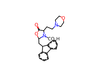 O=C1OC(CC2c3ccccc3-c3ccccc32)N(C(=O)O)C1CCN1CCOCC1